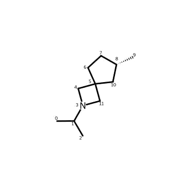 CC(C)N1CC2(CC[C@H](C)C2)C1